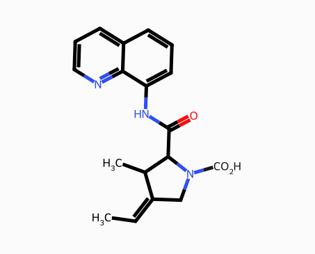 CC=C1CN(C(=O)O)C(C(=O)Nc2cccc3cccnc23)C1C